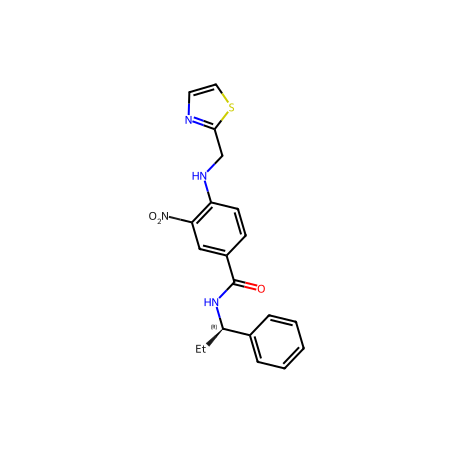 CC[C@@H](NC(=O)c1ccc(NCc2nccs2)c([N+](=O)[O-])c1)c1ccccc1